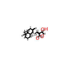 C=C1CC[C@H]2C(C)(C)CCC[C@]2(C)[C@H]1C/C=C1\C(=O)OC[C@H]1O